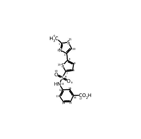 Cc1nc(-c2ccc(S(=O)(=O)Nc3cccc(C(=O)O)c3)s2)cs1